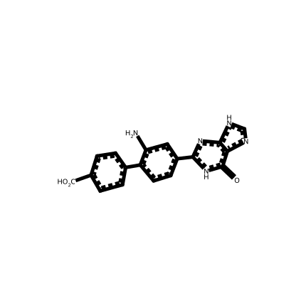 Nc1cc(-c2nc3[nH]cnc3c(=O)[nH]2)ccc1-c1ccc(C(=O)O)cc1